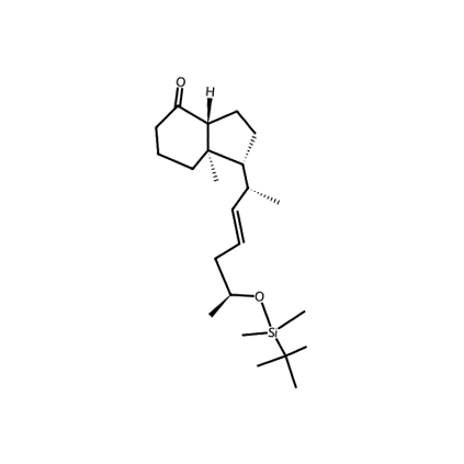 C[C@H](/C=C/C[C@H](C)O[Si](C)(C)C(C)(C)C)[C@H]1CC[C@H]2C(=O)CCC[C@]12C